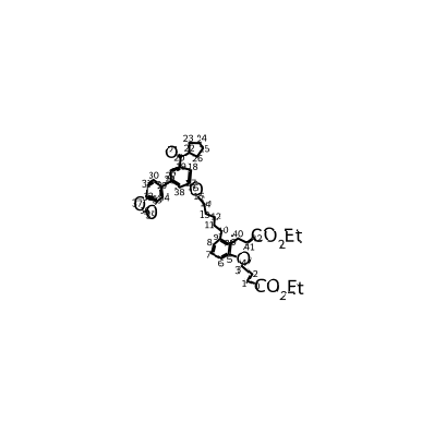 CCOC(=O)CCCOc1cccc(CCCCCCOc2cc(C(=O)C3CCCC3)cc(-c3ccc4c(c3)OCO4)c2)c1CCC(=O)OCC